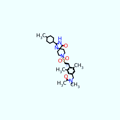 CC(=O)N(C)Cc1cc(C)c(/C=C/S(=O)(=O)N2CCC3(CC2)N=C(C2CCC(C)CC2)NC3=O)c(C)c1